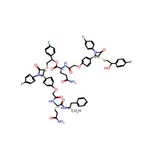 NC(=O)CC[C@H](NC(=O)COc1ccc([C@@H]2[C@@H](SCC(OC(=O)[C@H](CCC(N)=O)NC(=O)COc3ccc([C@@H]4[C@@H](SCC(O)c5ccc(F)cc5)C(=O)N4c4ccc(F)cc4)cc3)c3ccc(F)cc3)C(=O)N2c2ccc(F)cc2)cc1)C(=O)N[C@H](Cc1ccccc1)C(=O)O